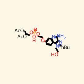 CCCCc1nc2c(N)nc3cc(OCCOP(=O)(O)OC[C@@H](COC(C)=O)OC(C)=O)ccc3c2n1CCO